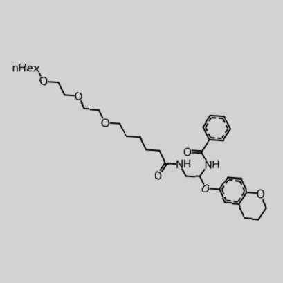 CCCCCCOCCOCCOCCCCCC(=O)NCC(NC(=O)c1ccccc1)Oc1ccc2c(c1)CCCO2